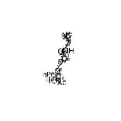 CCCc1c(OCCCOc2cccc(C(=O)NCCCCc3cccnc3)c2)ccc(C(C)=O)c1O